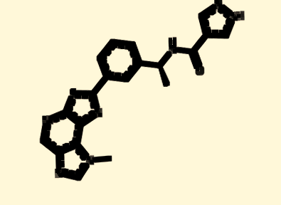 C[C@H](NC(=O)c1cn[nH]c1)c1cccc(-c2nc3c(ncc4ncn(C)c43)s2)c1